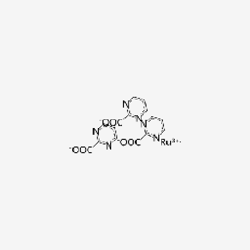 O=C([O-])c1ncccn1.O=C([O-])c1ncccn1.O=C([O-])c1ncccn1.[Ru+3]